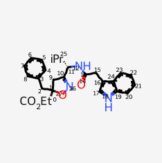 CCOC(=O)C1(Cc2ccccc2)CC([C@@H](NC(=O)Cc2c[nH]c3ccccc23)C(C)C)=NO1